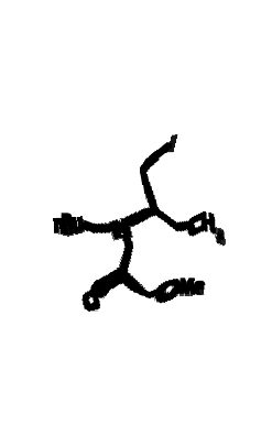 CCCCN(C(=O)OC)C(C)CI